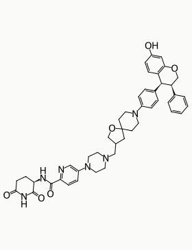 O=C1CC[C@@H](NC(=O)c2ccc(N3CCN(CC4COC5(CCN(c6ccc([C@H]7c8ccc(O)cc8OC[C@H]7c7ccccc7)cc6)CC5)C4)CC3)cn2)C(=O)N1